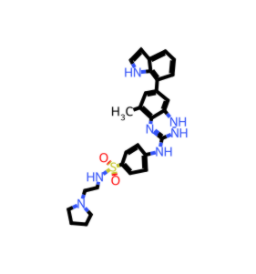 Cc1cc(-c2cccc3cc[nH]c23)cc2c1N=C(Nc1ccc(S(=O)(=O)NCCN3CCCC3)cc1)NN2